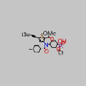 CCOP(C)(=O)C1(O)CCC(N(c2cc(C#CC(C)(C)C)sc2C(=O)OC)C(=O)[C@H]2CC[C@H](C)CC2)CC1